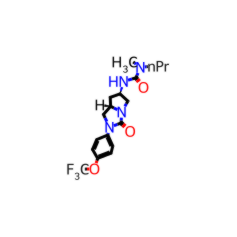 CCCN(C)C(=O)N[C@@H]1C[C@H]2CN(c3ccc(OC(F)(F)F)cc3)C(=O)N2C1